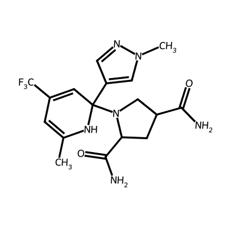 CC1=CC(C(F)(F)F)=CC(c2cnn(C)c2)(N2CC(C(N)=O)CC2C(N)=O)N1